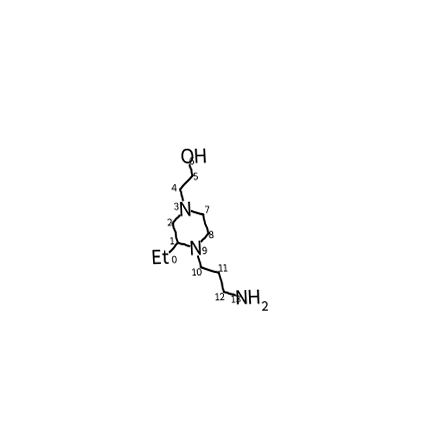 CCC1CN(CCO)CCN1CCCN